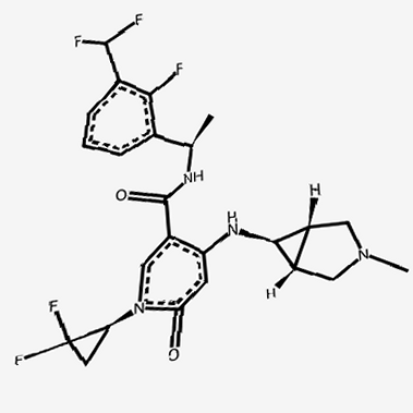 C[C@@H](NC(=O)c1cn([C@H]2CC2(F)F)c(=O)cc1N[C@H]1[C@@H]2CN(C)C[C@@H]21)c1cccc(C(F)F)c1F